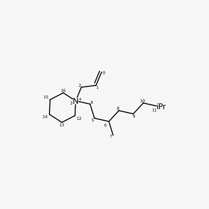 C=CC[N+]1(CCC(C)CCCC(C)C)CCCCC1